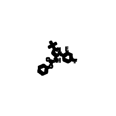 CC(C)(C)c1cc(NC(=O)Oc2ccccc2)n(-c2ccc(F)cc2F)n1